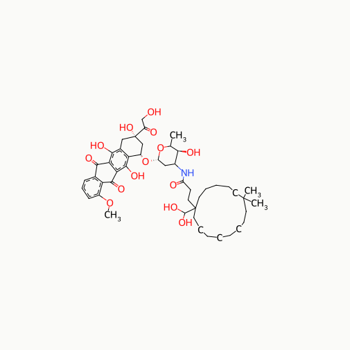 COc1cccc2c1C(=O)c1c(O)c3c(c(O)c1C2=O)C[C@@](O)(C(=O)CO)C[C@@H]3O[C@H]1CC(NC(=O)CCC2(C(O)O)CCCCCCCCC(C)(C)CCCCC2)[C@H](O)C(C)O1